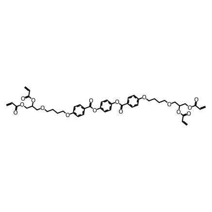 C=CC(=O)OCC(COCCCCOc1ccc(C(=O)Oc2ccc(OC(=O)c3ccc(OCCCCOCC(COC(=O)C=C)OC(=O)C=C)cc3)cc2)cc1)OC(=O)C=C